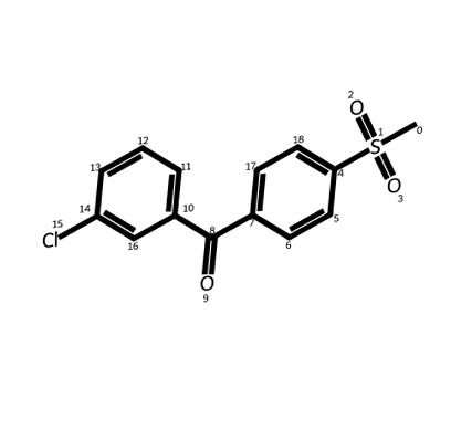 CS(=O)(=O)c1ccc(C(=O)c2cccc(Cl)c2)cc1